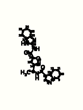 C[C@@H](NC(=O)c1cnn2ccccc12)c1cc(C(=O)Nc2nc3ccccc3[nH]2)on1